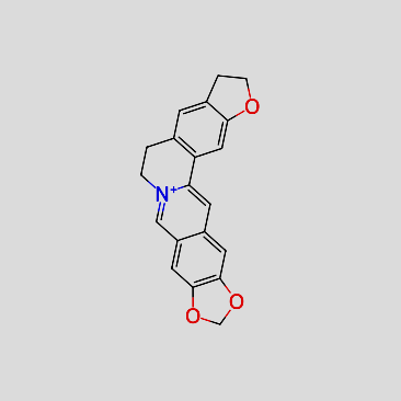 c1c2c(cc3c1CC[n+]1cc4cc5c(cc4cc1-3)OCO5)OCC2